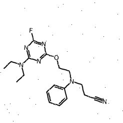 CCN(CC)c1nc(F)nc(OCCN(CCC#N)c2ccccc2)n1